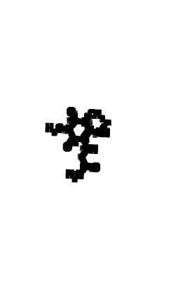 Cn1c(NI)c(NCC(N)=O)c(=O)n(C)c1=O